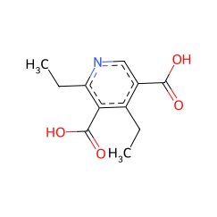 CCc1ncc(C(=O)O)c(CC)c1C(=O)O